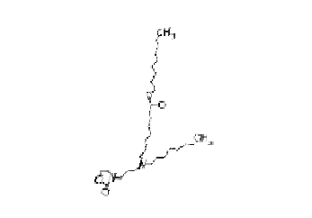 CCCCCCCCCOC(=O)CCCCCCCN(CCCCCCCC)CCCN1CCOC1=O